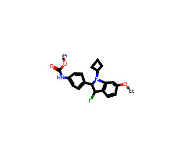 CCOc1ccc2c(c1)N(C1CCC1)C(c1ccc(NC(=O)OC(C)C)cc1)C2F